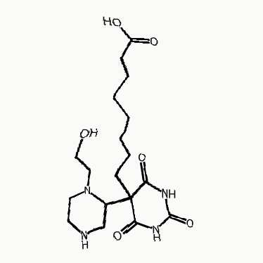 O=C(O)CCCCCCCC1(C2CNCCN2CCO)C(=O)NC(=O)NC1=O